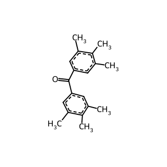 Cc1cc(C(=O)c2cc(C)c(C)c(C)c2)cc(C)c1C